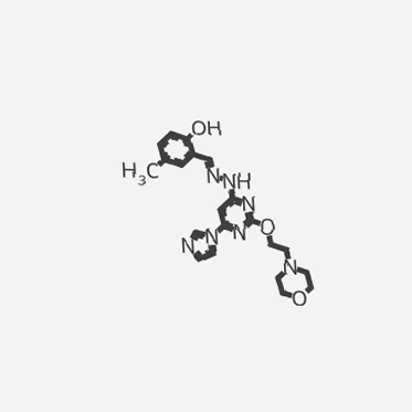 Cc1ccc(O)c(C=NNc2cc(-n3ccnc3)nc(OCCN3CCOCC3)n2)c1